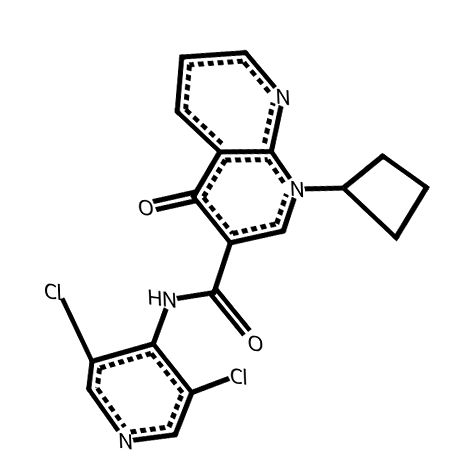 O=C(Nc1c(Cl)cncc1Cl)c1cn(C2CCC2)c2ncccc2c1=O